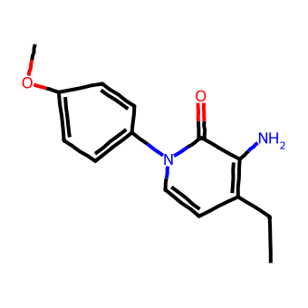 CCc1ccn(-c2ccc(OC)cc2)c(=O)c1N